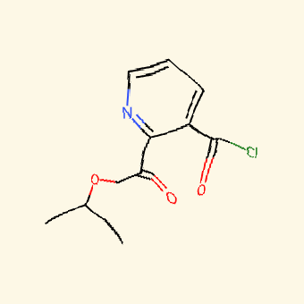 CC(C)OC(=O)c1ncccc1C(=O)Cl